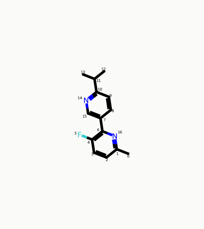 Cc1ccc(F)c(-c2ccc(C(C)C)nc2)n1